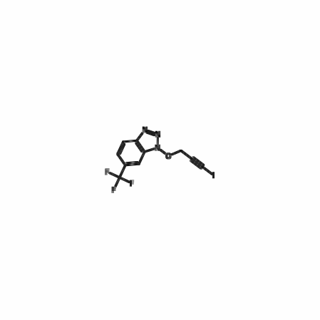 FC(F)(F)c1ccc2nnn(OCC#CI)c2c1